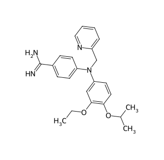 CCOc1cc(N(Cc2ccccn2)c2ccc(C(=N)N)cc2)ccc1OC(C)C